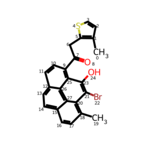 Cc1ccsc1CC(=O)c1ccc2ccc3ccc(C)c4c(Br)c(O)c1c2c34